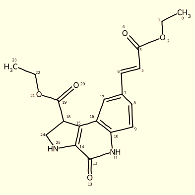 CCOC(=O)/C=C/c1ccc2[nH]c(=O)c3c(c2c1)C(C(=O)OCC)CN3